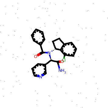 NC(=O)[C@@H](c1cccnc1)N(C(=O)c1ccccc1)[C@@H]1CCc2cccc(Cl)c21